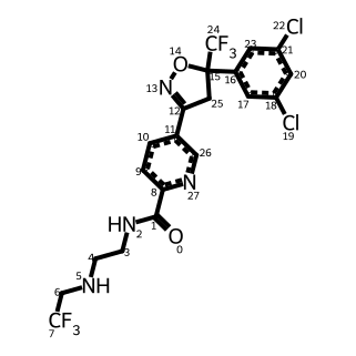 O=C(NCCNCC(F)(F)F)c1ccc(C2=NOC(c3cc(Cl)cc(Cl)c3)(C(F)(F)F)C2)cn1